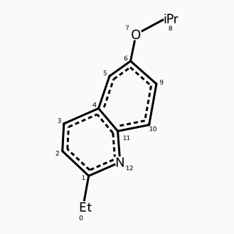 CCc1ccc2cc(OC(C)C)ccc2n1